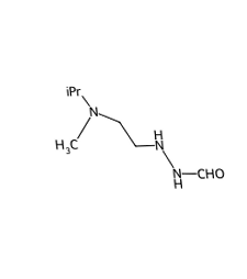 CC(C)N(C)CCNNC=O